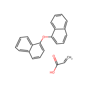 C=CC(=O)O.c1ccc2c(Oc3cccc4ccccc34)cccc2c1